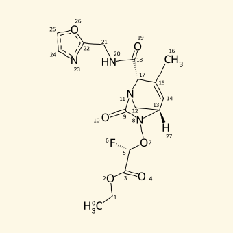 CCOC(=O)[C@H](F)ON1C(=O)N2C[C@@H]1C=C(C)[C@H]2C(=O)NCc1ncco1